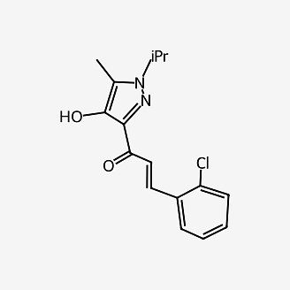 Cc1c(O)c(C(=O)/C=C/c2ccccc2Cl)nn1C(C)C